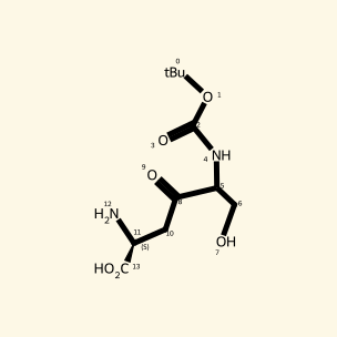 CC(C)(C)OC(=O)NC(CO)C(=O)C[C@H](N)C(=O)O